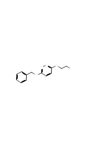 O=C(O)CCNc1ccc(OCc2ccccc2)nn1